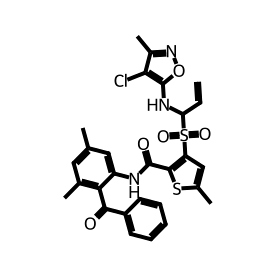 C=CC(Nc1onc(C)c1Cl)S(=O)(=O)c1cc(C)sc1C(=O)Nc1cc(C)cc(C)c1C(=O)c1ccccc1